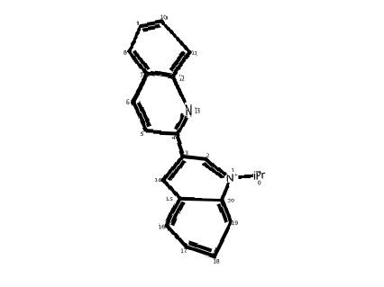 CC(C)[n+]1cc(-c2ccc3ccccc3n2)cc2ccccc21